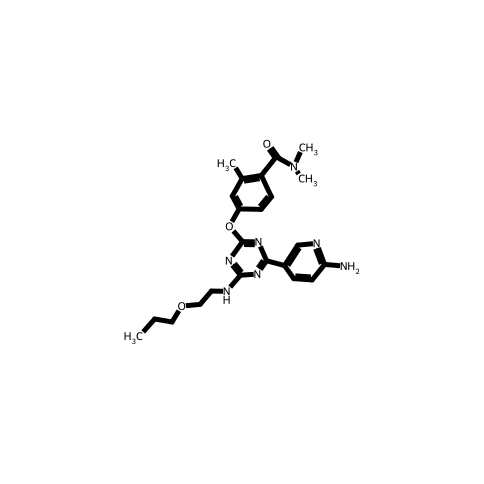 CCCOCCNc1nc(Oc2ccc(C(=O)N(C)C)c(C)c2)nc(-c2ccc(N)nc2)n1